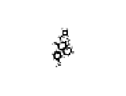 COc1cccc([C@]23CCCC[C@H]2C(=O)N(CC2CCC2)C(=O)C3)c1